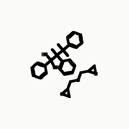 C(OCC1CO1)C1CO1.CC(C)(c1ccccc1)C(C)(c1ccccc1)C(O)(O)c1ccccc1